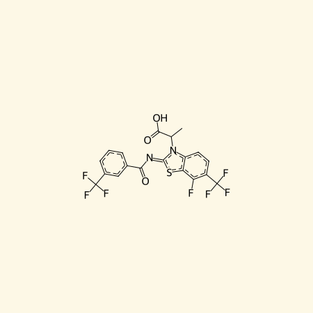 CC(C(=O)O)n1/c(=N/C(=O)c2cccc(C(F)(F)F)c2)sc2c(F)c(C(F)(F)F)ccc21